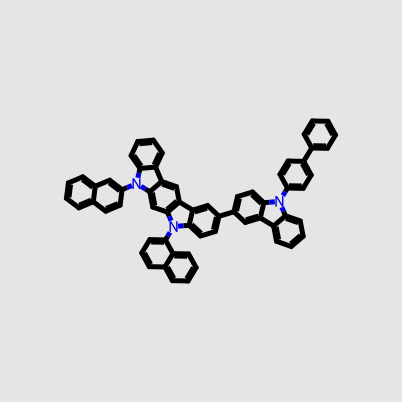 c1ccc(-c2ccc(-n3c4ccccc4c4cc(-c5ccc6c(c5)c5cc7c8ccccc8n(-c8ccc9ccccc9c8)c7cc5n6-c5cccc6ccccc56)ccc43)cc2)cc1